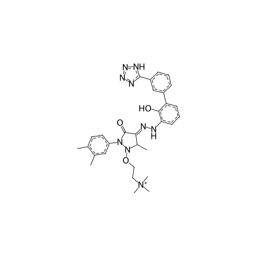 Cc1ccc(N2C(=O)C(=NNc3cccc(-c4cccc(-c5nnn[nH]5)c4)c3O)C(C)N2OCC[N+](C)(C)C)cc1C